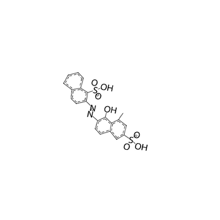 Cc1cc(S(=O)(=O)O)cc2ccc(N=Nc3ccc4ccccc4c3S(=O)(=O)O)c(O)c12